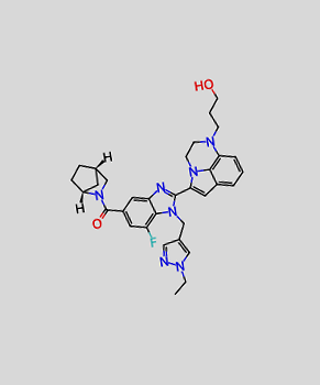 CCn1cc(Cn2c(-c3cc4cccc5c4n3CCN5CCCO)nc3cc(C(=O)N4C[C@H]5CC[C@@H]4C5)cc(F)c32)cn1